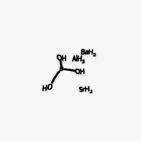 OB(O)O.[AlH3].[BaH2].[SrH2]